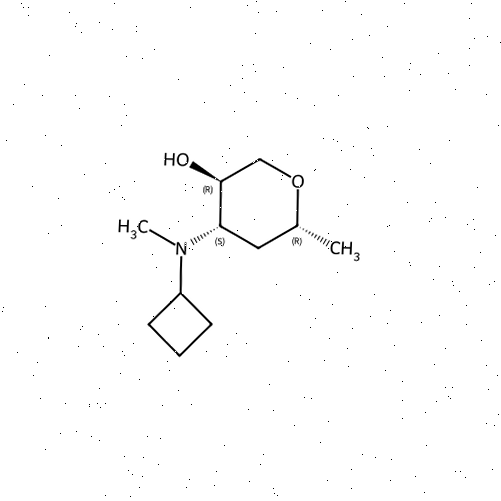 C[C@@H]1C[C@H](N(C)C2CCC2)[C@@H](O)CO1